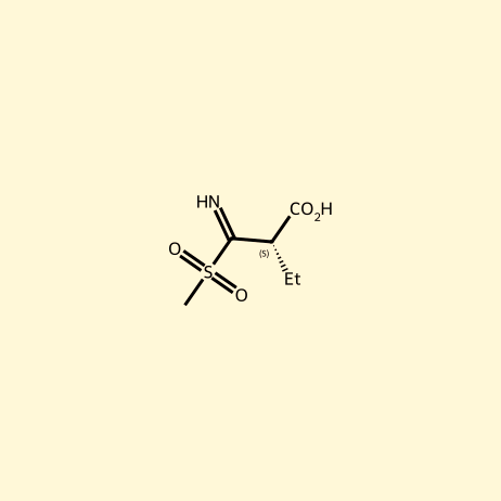 CC[C@H](C(=N)S(C)(=O)=O)C(=O)O